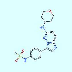 CS(=O)(=O)Nc1ccc(-c2cnc3ccc(NC4CCOCC4)nn23)cc1